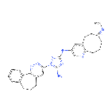 CO/N=C1/CCCc2ncc(Nc3nc(N)n(-c4cc5c(nn4)-c4ccccc4CCC5)n3)cc2CC1